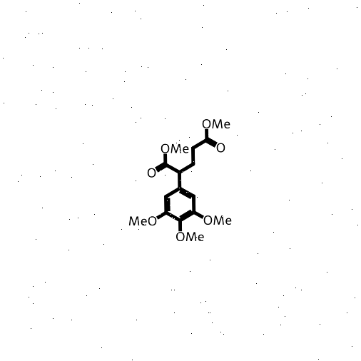 COC(=O)CCC(C(=O)OC)c1cc(OC)c(OC)c(OC)c1